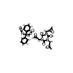 O=C=NC(N=C=O)(c1ccccc1)c1ccccc1.O=c1n(CC2CO2)c(=O)n(CC2CO2)c(=O)n1CC1CO1